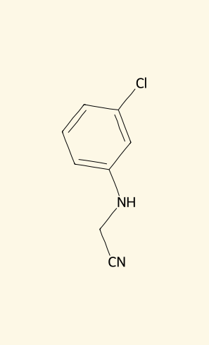 N#CCNc1cccc(Cl)c1